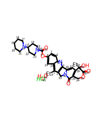 CCc1c2c(nc3ccc(OC(=O)N4CCC(N5CCCCC5)CC4)cc13)-c1cc3c(c(=O)n1C2)COC(=O)[C@]3(O)CC.Cl.O